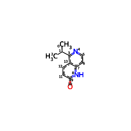 CC(C)c1nccc2[nH]c(=O)ccc12